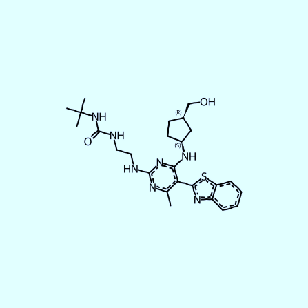 Cc1nc(NCCNC(=O)NC(C)(C)C)nc(N[C@H]2CC[C@@H](CO)C2)c1-c1nc2ccccc2s1